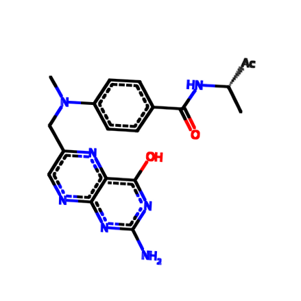 CC(=O)[C@H](C)NC(=O)c1ccc(N(C)Cc2cnc3nc(N)nc(O)c3n2)cc1